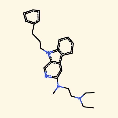 CCN(CC)CCN(C)c1cc2c3ccccc3n(CCCc3ccccc3)c2cn1